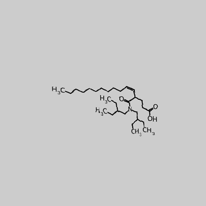 CCCCCCCCCC/C=C\C(CCC(=O)O)C(=O)N(CC(CC)CC)CC(CC)CC